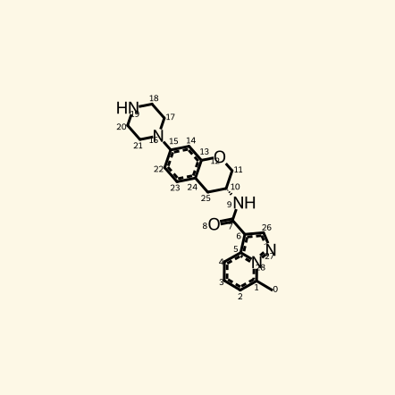 Cc1cccc2c(C(=O)N[C@H]3COc4cc(N5CCNCC5)ccc4C3)cnn12